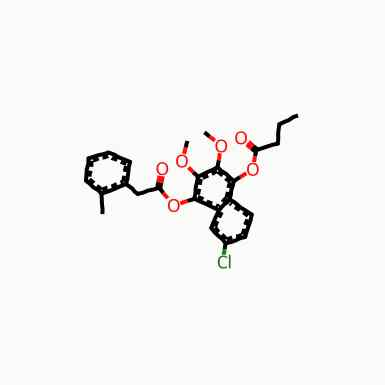 CCCC(=O)Oc1c(OC)c(OC)c(OC(=O)Cc2ccccc2C)c2cc(Cl)ccc12